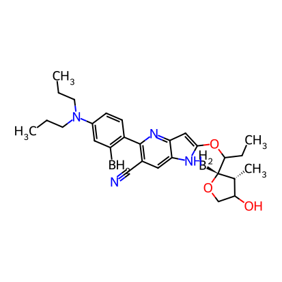 Bc1cc(N(CCC)CCC)ccc1-c1nc2cc(OC(CC)[C@@]3(B)OCC(O)[C@H]3C)[nH]c2cc1C#N